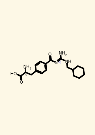 N/C(=N\C(=O)c1ccc(C[C@H](N)C(=O)O)cc1)NCC1CCCCC1